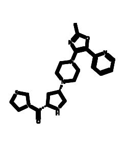 Cc1nc(N2CCN([C@@H]3CN[C@H](C(=O)N4CCSC4)C3)CC2)c(-c2ccccn2)o1